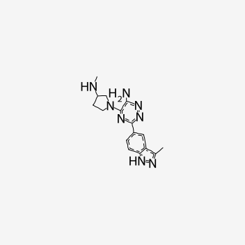 CNC1CCN(c2nc(-c3ccc4[nH]nc(C)c4c3)nnc2N)C1